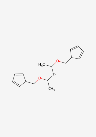 C[CH](OCC1C=CC=C1)[Zr][CH](C)OCC1C=CC=C1